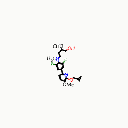 COc1ccc(-c2cc(F)c(N(C)CCC(C=O)CO)c(F)c2)nc1OCC1CC1